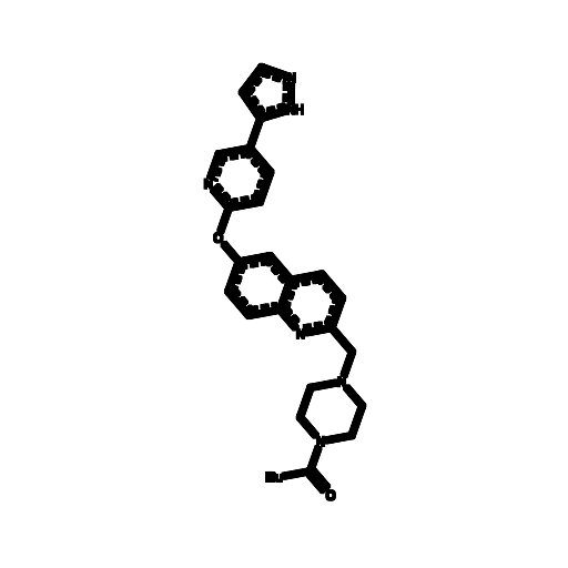 CCC(C)C(=O)N1CCN(Cc2ccc3cc(Oc4ccc(-c5ccn[nH]5)cn4)ccc3n2)CC1